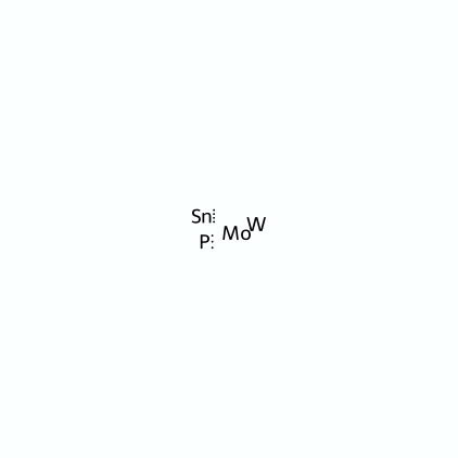 [Mo].[P].[Sn].[W]